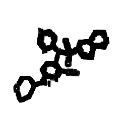 COc1nc(NC2CCOCC2)ccc1N(c1ccncn1)S(=O)(=O)c1ccc2cnccc2c1